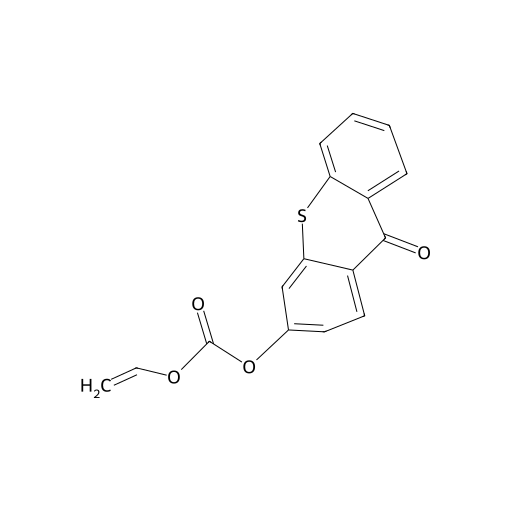 C=COC(=O)Oc1ccc2c(=O)c3ccccc3sc2c1